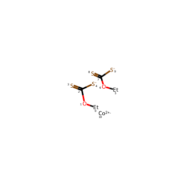 CCOC(=S)[S-].CCOC(=S)[S-].[Co+2]